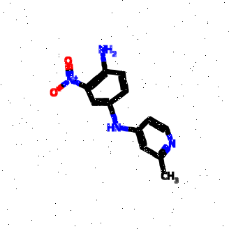 Cc1cc(Nc2ccc(N)c([N+](=O)[O-])c2)ccn1